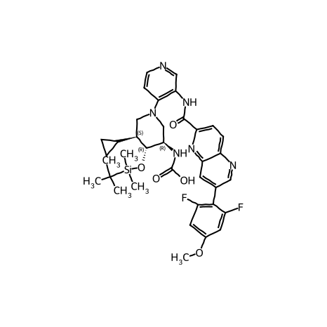 COc1cc(F)c(-c2cnc3ccc(C(=O)Nc4cnccc4N4C[C@H](C5CC5)[C@@H](O[Si](C)(C)C(C)(C)C)[C@H](NC(=O)O)C4)nc3c2)c(F)c1